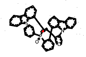 O=P1(c2ccccc2)c2ccccc2C2(c3ccccc3-n3c4ccccc4c4cccc2c43)c2ccc(-c3cccc4c3sc3ccccc34)cc21